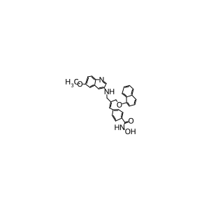 COc1ccc2ncc(NC/C(=C/c3ccc(C(=O)NO)cc3)COc3cccc4ccccc34)cc2c1